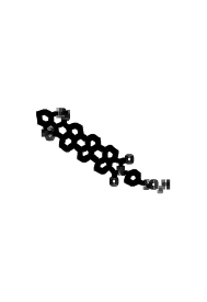 CCCc1cccc(C(C)C)c1C1C(=O)c2ccc3c4ccc5c6ccc7c8c(ccc(c9ccc(c%10ccc(c2c3%10)C1=O)c4c59)c86)C(=O)N(c1ccc(S(=O)(=O)O)cc1)C7=O